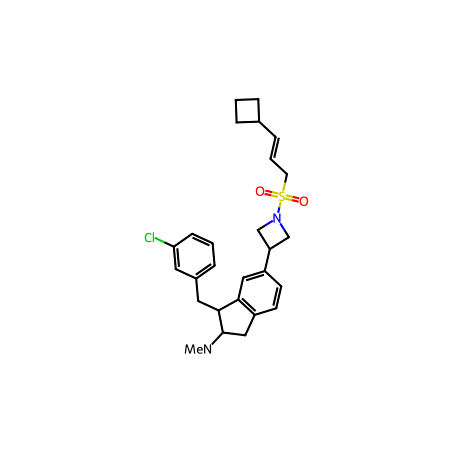 CNC1Cc2ccc(C3CN(S(=O)(=O)CC=CC4CCC4)C3)cc2C1Cc1cccc(Cl)c1